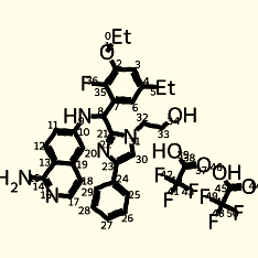 CCOc1cc(CC)cc(C(Nc2ccc3c(N)nccc3c2)c2nc(-c3ccccc3)cn2CCO)c1F.O=C(O)C(F)(F)F.O=C(O)C(F)(F)F